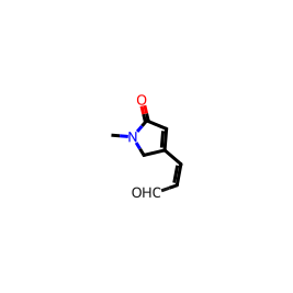 CN1CC(/C=C\C=O)=CC1=O